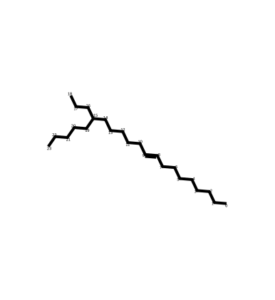 CCCCCCCCC=CCCCCCC(CCC)CCCCC